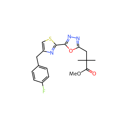 COC(=O)C(C)(C)Cc1nnc(-c2nc(Cc3ccc(F)cc3)cs2)o1